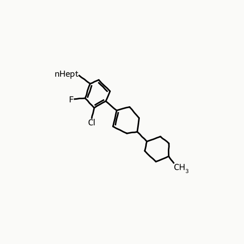 CCCCCCCc1ccc(C2=CCC(C3CCC(C)CC3)CC2)c(Cl)c1F